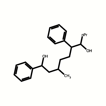 CCCC(O)C(CCC(C)CC(O)c1ccccc1)c1ccccc1